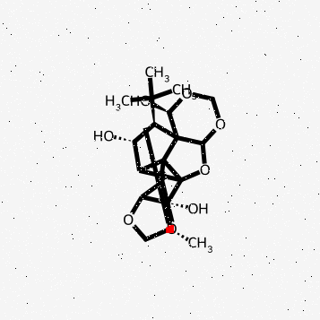 C[C@@H]1COC2CC34C5OC(=O)C3(OC3OCO[C@H](O)C34[C@H](C(C)(C)C)[C@H]5O)[C@]21O